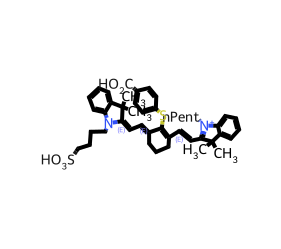 CCCCC[N+]1=C(/C=C/C2=C(Sc3ccc(C(=O)O)cc3)C(=C/C=C3/N(CCCCS(=O)(=O)O)c4ccccc4C3(C)C)/CCC2)C(C)(C)c2ccccc21